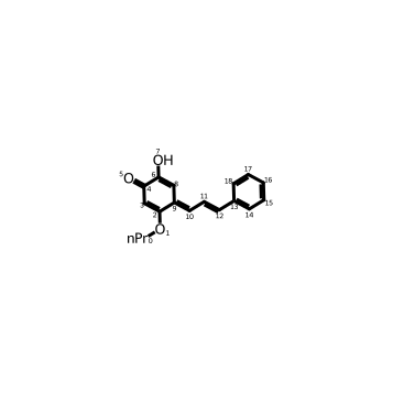 CCCOC1=CC(=O)C(O)=CC1=CC=Cc1ccccc1